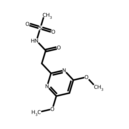 COc1cc(OC)nc(CC(=O)NS(C)(=O)=O)n1